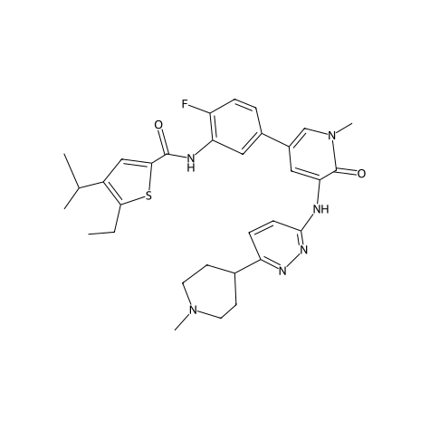 CCc1sc(C(=O)Nc2cc(-c3cc(Nc4ccc(C5CCN(C)CC5)nn4)c(=O)n(C)c3)ccc2F)cc1C(C)C